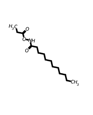 CCCCCCCCCCCC(=O)NOC(=O)CC